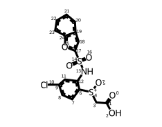 O=C(O)C[S+]([O-])c1ccc(Cl)cc1NS(=O)(=O)c1cc2ccccc2o1